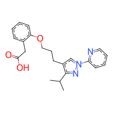 CC(C)c1nn(-c2ccccn2)cc1CCCOc1ccccc1CC(=O)O